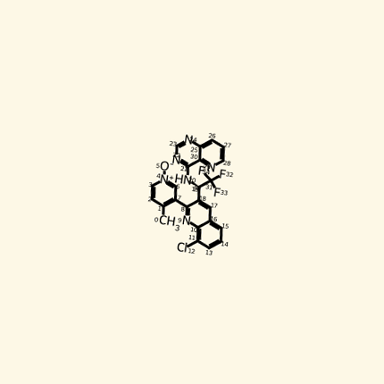 Cc1cc[n+]([O-])cc1-c1nc2c(Cl)cccc2cc1[C@@H](Nc1ncnc2cccnc12)C(F)(F)F